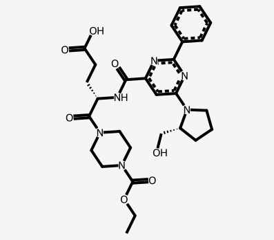 CCOC(=O)N1CCN(C(=O)[C@H](CCC(=O)O)NC(=O)c2cc(N3CCC[C@@H]3CO)nc(-c3ccccc3)n2)CC1